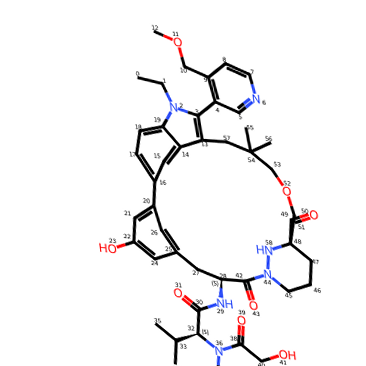 CCn1c(-c2cnccc2COC)c2c3cc(ccc31)-c1cc(O)cc(c1)C[C@H](NC(=O)[C@H](C(C)C)N(C)C(=O)CO)C(=O)N1CCCC(C=O)(COCC(C)(C)C2)N1